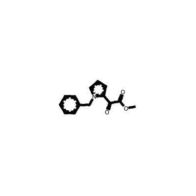 COC(=O)C(=O)c1cccn1Cc1ccccc1